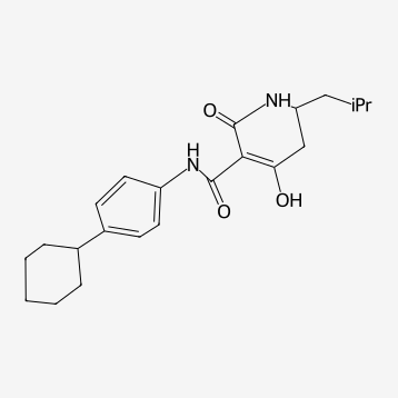 CC(C)CC1CC(O)=C(C(=O)Nc2ccc(C3CCCCC3)cc2)C(=O)N1